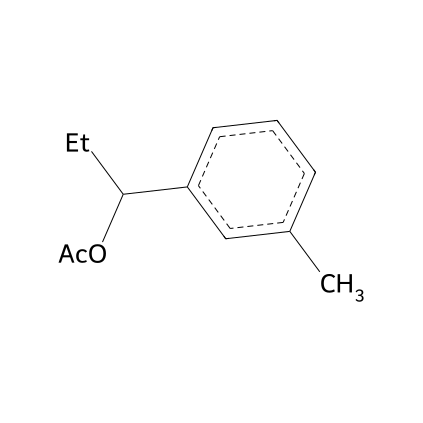 CCC(OC(C)=O)c1cccc(C)c1